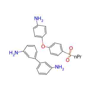 CCCS(=O)(=O)c1ccc(Oc2ccc(N)cc2)cc1.Nc1cccc(-c2cccc(N)c2)c1